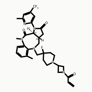 C=CC(=O)N1CC(N2CCC(F)(CN3C[C@H]4CC(=O)N(c5cc(C(F)(F)F)cc(C)n5)[C@@H]4C(=O)N(C)c4cccc(C)c43)CC2)C1